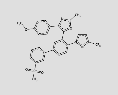 Cc1nc(-c2ccc(OC(F)(F)F)cc2)c(-c2cc(-c3cccc(S(C)(=O)=O)c3)ccc2-n2ccc(C(F)(F)F)n2)o1